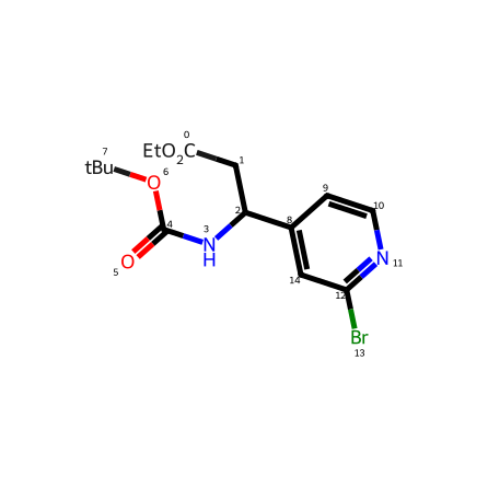 CCOC(=O)CC(NC(=O)OC(C)(C)C)c1ccnc(Br)c1